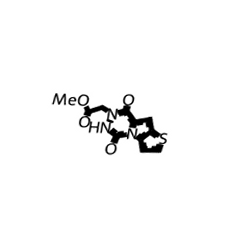 COC(=O)Cn1[nH]c(=O)n2c(cc3sccc32)c1=O